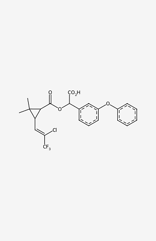 CC1(C)C(C=C(Cl)C(F)(F)F)C1C(=O)OC(C(=O)O)c1cccc(Oc2ccccc2)c1